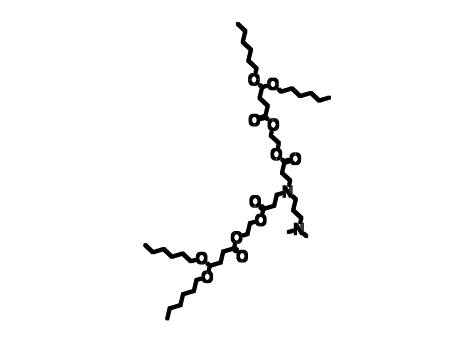 CCCCCCOC(CCC(=O)OCCOC(=O)CCN(CCCN(C)C)CCC(=O)OCCOC(=O)CCC(OCCCCCC)OCCCCCC)OCCCCCC